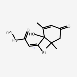 CCCNC(=O)/C=C(/CC)C1(O)C(C)=CC(=O)CC1(C)C